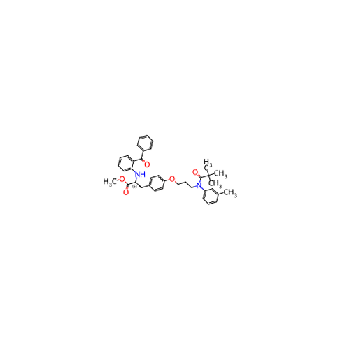 COC(=O)[C@H](Cc1ccc(OCCCN(C(=O)C(C)(C)C)c2cccc(C)c2)cc1)Nc1ccccc1C(=O)c1ccccc1